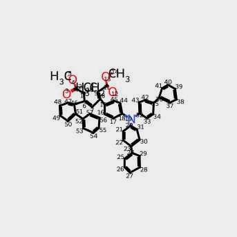 C=C(C(=O)OC)/C(=C\C(=C(/C)C(=O)OC)c1ccc(N(c2ccc(-c3ccccc3)cc2)c2ccc(-c3ccccc3)cc2)cc1)c1ccccc1-c1ccccc1